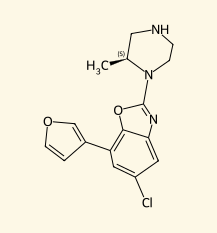 C[C@H]1CNCCN1c1nc2cc(Cl)cc(-c3ccoc3)c2o1